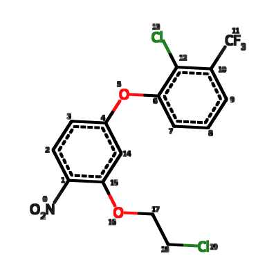 O=[N+]([O-])c1ccc(Oc2cccc(C(F)(F)F)c2Cl)cc1OCCCl